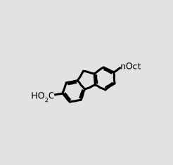 CCCCCCCCc1ccc2c(c1)Cc1cc(C(=O)O)ccc1-2